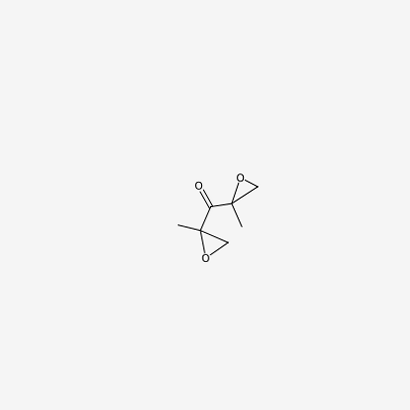 CC1(C(=O)C2(C)CO2)CO1